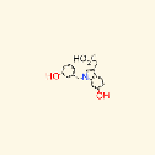 O=C(O)Cc1cn(Cc2cccc(O)c2)c2cc(O)ccc12